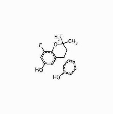 CC1(C)CCc2cc(O)cc(F)c2O1.Oc1ccccc1